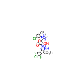 Cc1nc(C2OC3COC3C(N/C=C(\C(=N)C(=O)O)c3cc(F)c(Cl)c(F)c3)C2O)n(-c2cc(Cl)ccc2C(F)(F)F)n1